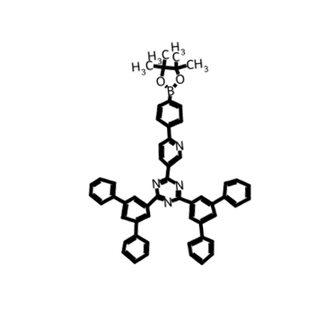 CC1(C)OB(c2ccc(-c3ccc(-c4nc(-c5cc(-c6ccccc6)cc(-c6ccccc6)c5)nc(-c5cc(-c6ccccc6)cc(-c6ccccc6)c5)n4)cn3)cc2)OC1(C)C